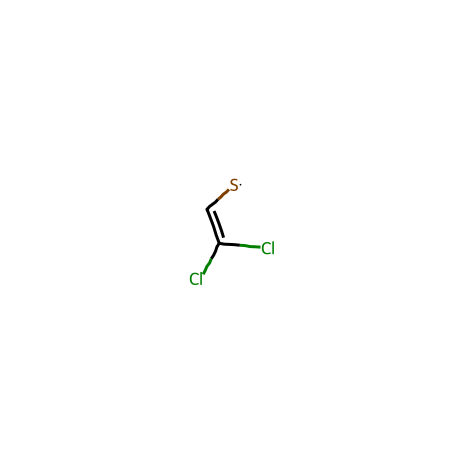 [S]C=C(Cl)Cl